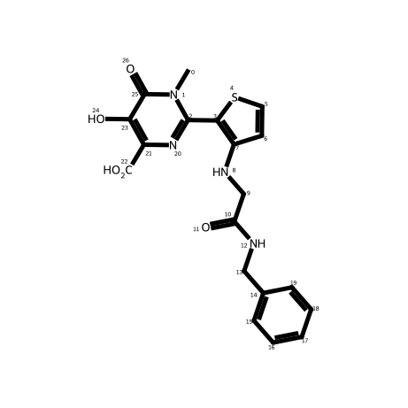 Cn1c(-c2sccc2NCC(=O)NCc2ccccc2)nc(C(=O)O)c(O)c1=O